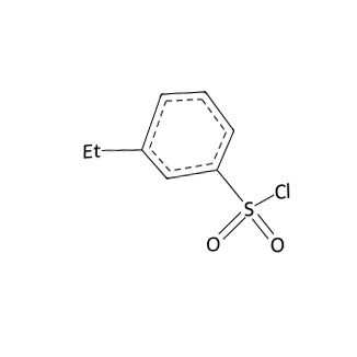 CCc1cccc(S(=O)(=O)Cl)c1